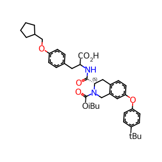 CC(C)COC(=O)N1Cc2cc(Oc3ccc(C(C)(C)C)cc3)ccc2C[C@H]1C(=O)NC(Cc1ccc(OCC2CCCC2)cc1)C(=O)O